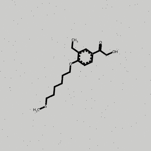 CCc1cc(C(=O)CO)ccc1OCCCCCCSC